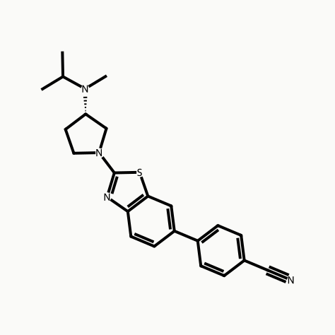 CC(C)N(C)[C@H]1CCN(c2nc3ccc(-c4ccc(C#N)cc4)cc3s2)C1